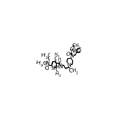 C=CCN(C)C(=O)c1cc(C)c(C(=O)NCC[C@@H](C)N2CCC(N(Cc3ccsc3)C(=O)NOC)CC2)c(C)n1